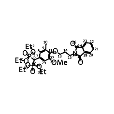 CCOP(=O)(OCC)C(c1cc(C)c(OCCCN2C(=O)c3ccccc3C2=O)c(OC)c1)P(=O)(OCC)OCC